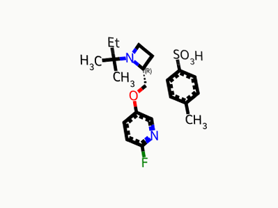 CCC(C)(C)N1CC[C@@H]1COc1ccc(F)nc1.Cc1ccc(S(=O)(=O)O)cc1